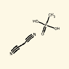 CP(=O)(O)O.N#CC#N